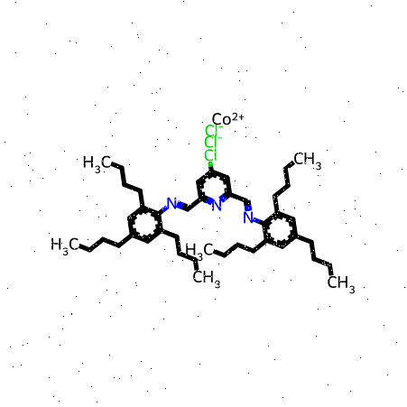 CCCCc1cc(CCCC)c(N=Cc2cc(Cl)cc(C=Nc3c(CCCC)cc(CCCC)cc3CCCC)n2)c(CCCC)c1.[Cl-].[Cl-].[Co+2]